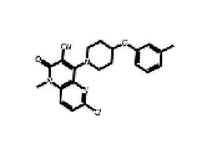 Cc1cccc(OC2CCN(c3c(C#N)c(=O)n(C)c4ccc(Cl)nc34)CC2)c1